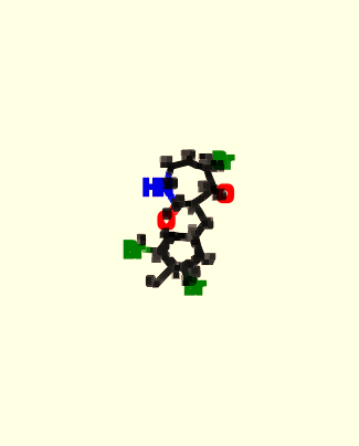 Cc1c(Br)cc(CC2C(=O)NCCC(Br)C2=O)cc1Br